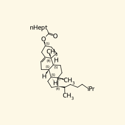 CCCCCCCC(=O)O[C@H]1CC[C@@]2(C)C(=CC[C@H]3[C@@H]4CC[C@H](C(C)CCCC(C)C)[C@@]4(C)CC[C@@H]32)C1